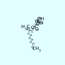 CCCCCCCCC(CC)COC(=O)COS(=O)(=O)O